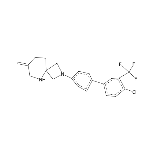 C=C1CCC2(CN(c3ccc(-c4ccc(Cl)c(C(F)(F)F)c4)cc3)C2)NC1